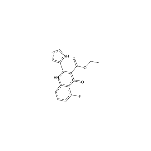 CCOC(=O)c1c(-c2ccc[nH]2)[nH]c2cccc(F)c2c1=O